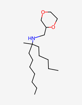 CCCCCCCC(C)(CCCCC)NCC1COCCO1